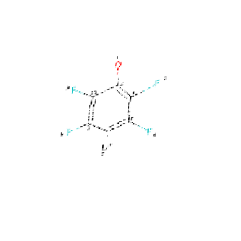 [Li+].[O-]c1c(F)c(F)cc(F)c1F